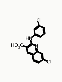 O=C(O)c1cc2ccc(Cl)cc2nc1Nc1cccc(Cl)c1